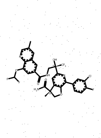 Cc1cnc2c(OC(F)F)cc(C(=O)NC[C@](O)(c3cc4c(c(-c5ccc(F)c(Cl)c5)n3)OC[C@]4(C)C(N)=O)C(F)(F)F)cc2c1